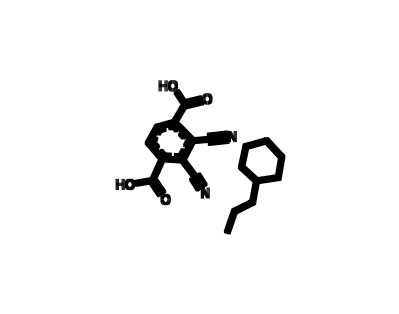 CCCC1CCCCC1.N#Cc1c(C(=O)O)ccc(C(=O)O)c1C#N